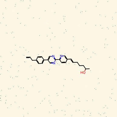 C=CCc1ccc(-c2cnc(-c3ccc(C=CCCCC(C)O)cn3)nc2)cc1